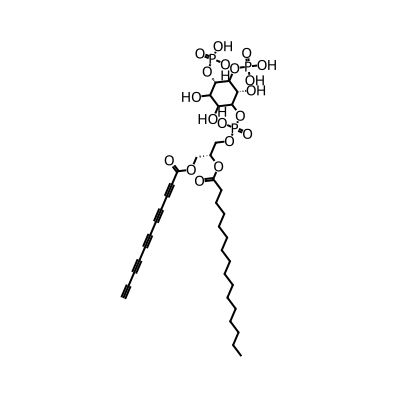 C#CC#CC#CC#CC#CC(=O)OC[C@H](COP(=O)(O)OC1C(O)C(O)[C@H](OP(=O)(O)O)C(OP(=O)(O)O)[C@@H]1O)OC(=O)CCCCCCCCCCCCCCC